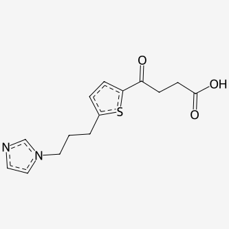 O=C(O)CCC(=O)c1ccc(CCCn2ccnc2)s1